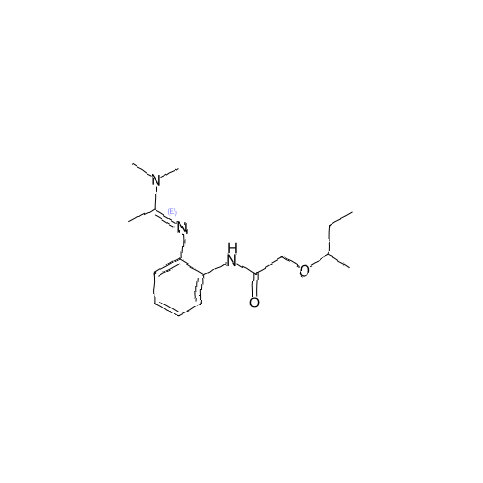 CCC(C)OCC(=O)Nc1ccccc1/N=C(\C)N(C)C